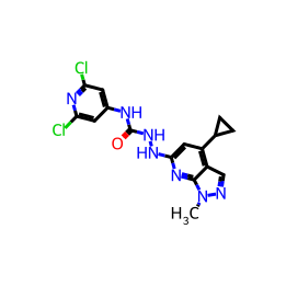 Cn1ncc2c(C3CC3)cc(NNC(=O)Nc3cc(Cl)nc(Cl)c3)nc21